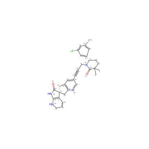 CC1(C)CC[C@@H](c2cc(F)cc(F)c2)N(CC#Cc2cnc3c(c2)C[C@@]2(C3)C(=O)NC3=C2C=CCN3)C1=O